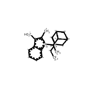 Cc1c(C(=O)O)c2ccccc2n1C(C)C1C2CC1CN(CC(F)(F)F)C2